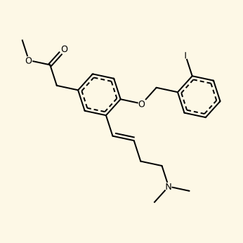 COC(=O)Cc1ccc(OCc2ccccc2I)c(/C=C/CCN(C)C)c1